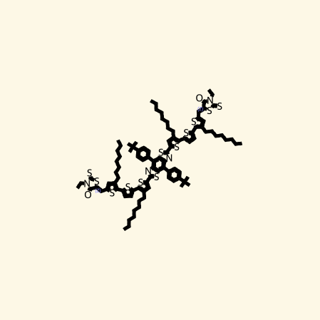 CCCCCCCCc1cc(/C=C2\SC(=S)N(CC)C2=O)sc1-c1ccc(-c2sc(-c3nc4c(-c5ccc(C(C)(C)C)cc5)c5sc(-c6cc(CCCCCCCC)c(-c7ccc(-c8sc(/C=C9\SC(=S)N(CC)C9=O)cc8CCCCCCCC)s7)s6)nc5c(-c5ccc(C(C)(C)C)cc5)c4s3)cc2CCCCCCCC)s1